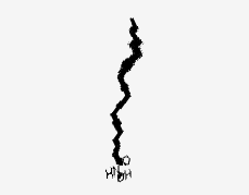 CCCCCCC#CCC#CCC#CCC#CCCCCC(=O)NO